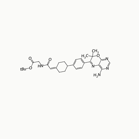 CC(C)(C)OC(=O)CNC(=O)C=C1CCC(c2ccc(C3=Nc4c(N)ncnc4OC3(C)C)cc2)CC1